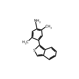 Cc1cc(-c2scc3ccccc23)c(C)cc1N